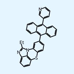 CCc1nc2cccc3c2n1-c1cc(-c2c4ccccc4c(-c4cccnc4)c4ccccc24)ccc1S3